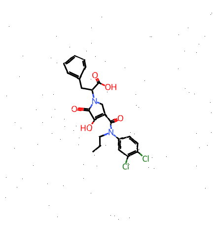 CCCN(C(=O)C1=C(O)C(=O)N(C(Cc2ccccc2)C(=O)O)C1)c1ccc(Cl)c(Cl)c1